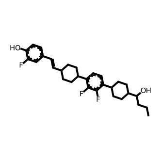 CCCC(O)C1CCC(c2ccc(C3CCC(/C=C/c4ccc(O)c(F)c4)CC3)c(F)c2F)CC1